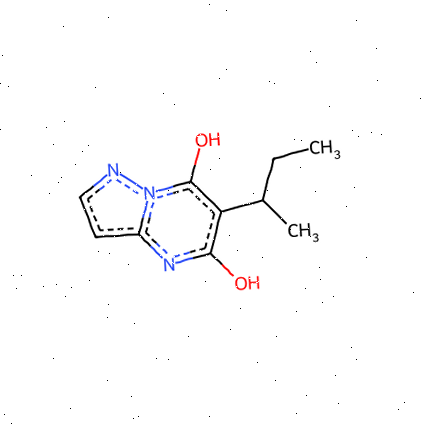 CCC(C)c1c(O)nc2ccnn2c1O